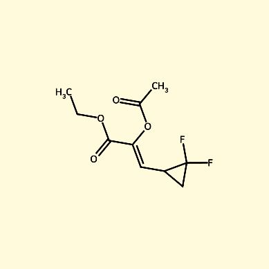 CCOC(=O)C(=CC1CC1(F)F)OC(C)=O